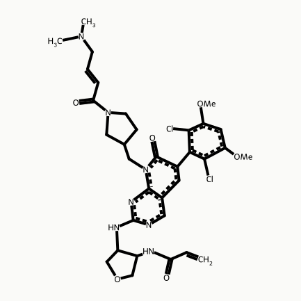 C=CC(=O)NC1COCC1Nc1ncc2cc(-c3c(Cl)c(OC)cc(OC)c3Cl)c(=O)n(CC3CCN(C(=O)/C=C/CN(C)C)C3)c2n1